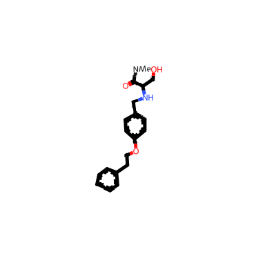 CNC(=O)C(CO)NCc1ccc(OCCc2ccccc2)cc1